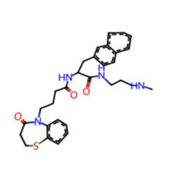 CNCCCNC(=O)C(Cc1ccc2ccccc2c1)NC(=O)CCCN1C(=O)CCSc2ccccc21